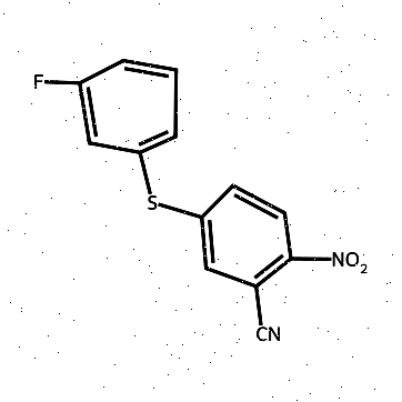 N#Cc1cc(Sc2cccc(F)c2)ccc1[N+](=O)[O-]